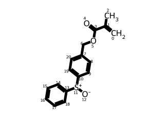 C=C(C)C(=O)OCc1ccc([S+]([O-])c2ccccc2)cc1